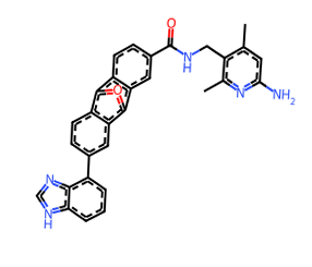 Cc1cc(N)nc(C)c1CNC(=O)c1ccc2c(c1)c1oc2c2ccc(-c3cccc4[nH]cnc34)cc21